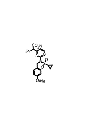 COc1ccc(CN(c2nccc(C(C(=O)O)C(C)C)n2)S(=O)(=O)C2CC2)cc1